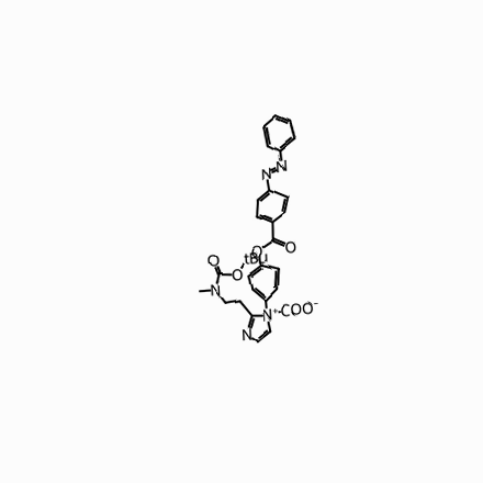 CN(CCC1=NC=C[N+]1(C(=O)[O-])c1ccc(OC(=O)c2ccc(N=Nc3ccccc3)cc2)cc1)C(=O)OC(C)(C)C